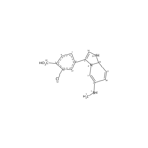 CBC1=CN2C(c3ccc(C(=O)O)c(Cl)c3)=CNC2C=C1